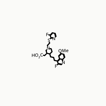 COc1ccc2ncc(F)c(CCCC3CCN(CCSc4ncccc4F)CC3CC(=O)O)c2c1